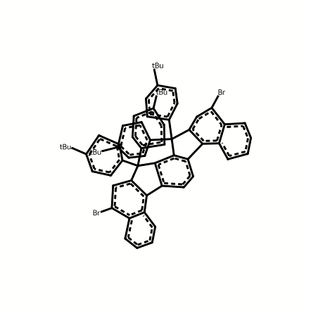 CC(C)(C)c1ccc(C2(c3ccc(C(C)(C)C)cc3)c3cc(Br)c4ccccc4c3-c3ccc4c(c32)C(c2ccc(C(C)(C)C)cc2)(c2ccc(C(C)(C)C)cc2)c2cc(Br)c3ccccc3c2-4)cc1